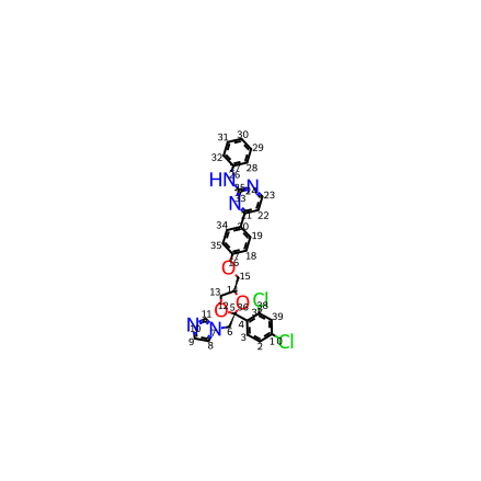 Clc1ccc([C@]2(Cn3ccnc3)OC[C@@H](COc3ccc(-c4ccnc(Nc5ccccc5)n4)cc3)O2)c(Cl)c1